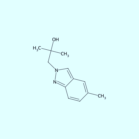 Cc1ccc2nn(CC(C)(C)O)cc2c1